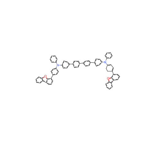 C1=C(c2cccc3c2oc2ccccc23)CCC(N(c2ccccc2)c2ccc(-c3ccc(-c4ccc(-c5ccc(N(c6ccccc6)c6ccc(-c7cccc8c7oc7ccccc78)cc6)cc5)cc4)cc3)cc2)=C1